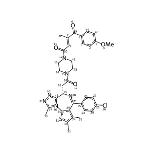 COc1ccc(C(=O)/C(C)=C/C(=O)N2CCN(C(=O)C[C@@H]3N=C(c4ccc(Cl)cc4)c4c(sc(C)c4C)-n4c(C)nnc43)CC2)cc1